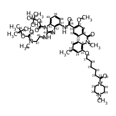 COc1cc(C(=O)N(C)c2ccc(C)cc2OCCCCCC(=O)N2CCN(C)CC2)ccc1C(=O)Nc1cccc2c1nc(NCCN(C)C(=O)OC(C)(C)C)n2C(=O)OC(C)(C)C